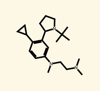 CN(C)CCN(C)c1ccc(C2CC2)c(C2CCCN2C(C)(C)C)c1